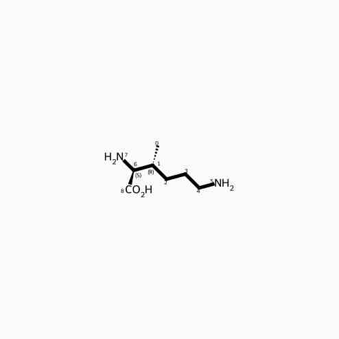 C[C@H](CCCN)[C@H](N)C(=O)O